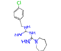 N=C(NCc1ccc(Cl)cc1)NC(=N)N1CCCCCC1